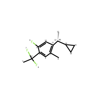 Cc1cc(C(C)(F)F)c(F)cc1[C@H](C)C1CC1